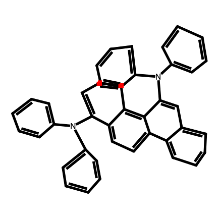 c1ccc(N(c2ccccc2)c2cccc3c2ccc2c4ccccc4cc(N(c4ccccc4)c4ccccc4)c32)cc1